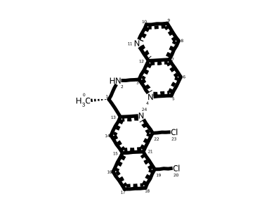 C[C@H](Nc1nccc2cccnc12)c1cc2cccc(Cl)c2c(Cl)n1